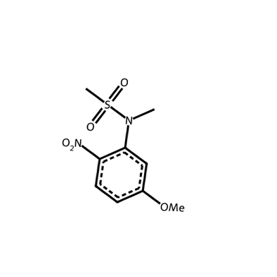 COc1ccc([N+](=O)[O-])c(N(C)S(C)(=O)=O)c1